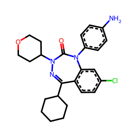 Nc1ccc(N2C(=O)N(C3CCOCC3)N=C(C3CCCCC3)c3ccc(Cl)cc32)cc1